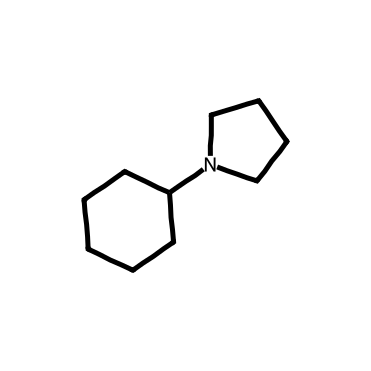 C1CCC(N2CCCC2)CC1